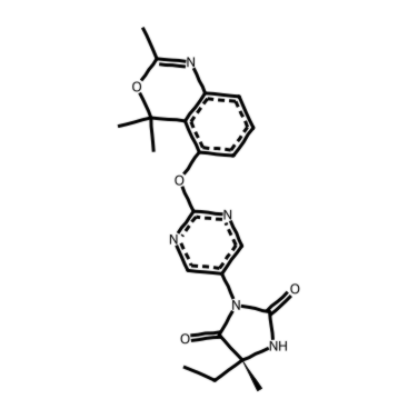 CC[C@@]1(C)NC(=O)N(c2cnc(Oc3cccc4c3C(C)(C)OC(C)=N4)nc2)C1=O